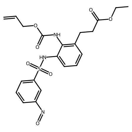 C=CCOC(=O)Nc1c(CCC(=O)OCC)cccc1NS(=O)(=O)c1cccc(N=O)c1